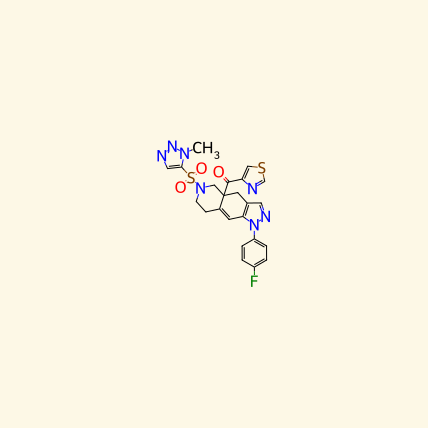 Cn1nncc1S(=O)(=O)N1CCC2=Cc3c(cnn3-c3ccc(F)cc3)CC2(C(=O)c2cscn2)C1